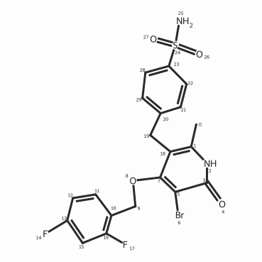 Cc1[nH]c(=O)c(Br)c(OCc2ccc(F)cc2F)c1Cc1ccc(S(N)(=O)=O)cc1